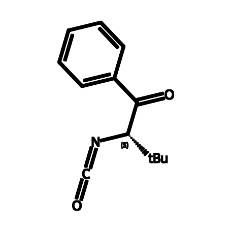 CC(C)(C)[C@H](N=C=O)C(=O)c1ccccc1